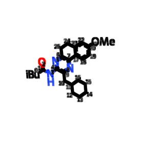 CCC(C)C(=O)Nc1nc2c(nc1CC1CCCCC1)-c1ccc(OC)cc1CC2